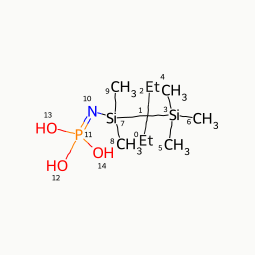 CCC(CC)([Si](C)(C)C)[Si](C)(C)N=P(O)(O)O